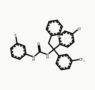 O=C(Nc1cccc(F)c1)NC(Cc1ccccc1)(c1cccc(C(F)(F)F)c1)c1ccc(Cl)cn1